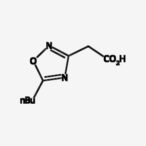 CCCCc1nc(CC(=O)O)no1